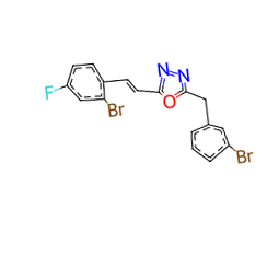 Fc1ccc(/C=C/c2nnc(Cc3cccc(Br)c3)o2)c(Br)c1